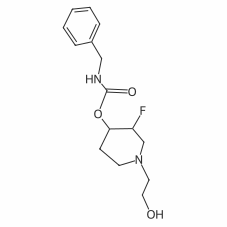 O=C(NCc1ccccc1)OC1CCN(CCO)CC1F